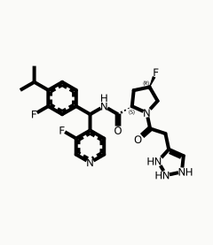 CC(C)c1ccc(C(NC(=O)[C@@H]2C[C@@H](F)CN2C(=O)CC2=CNNN2)c2ccncc2F)cc1F